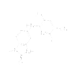 Cn1c(=O)[nH]c2cc(Nc3nc(Cl)c(C#N)cc3Cl)ccc21